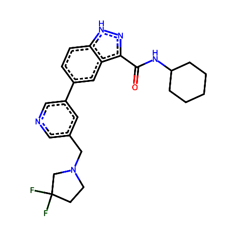 O=C(NC1CCCCC1)c1n[nH]c2ccc(-c3cncc(CN4CCC(F)(F)C4)c3)cc12